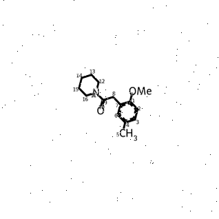 COc1ccc(C)cc1CC(=O)N1CCCCC1